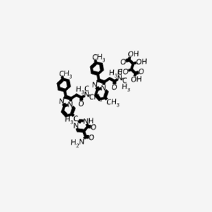 Cc1ccc(-c2nc3ccc(C)cn3c2CC(=O)N(C)C)cc1.Cc1ccc(-c2nc3ccc(C)cn3c2CC(=O)N(C)C)cc1.NC(=O)c1cnc[nH]c1=O.O=C(O)C(O)C(O)C(=O)O